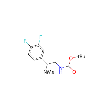 CNC(CNC(=O)OC(C)(C)C)c1ccc(F)c(F)c1